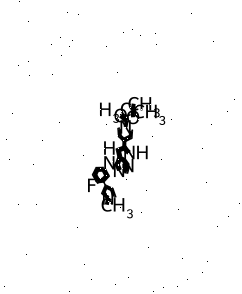 CN1CC[C@H](c2cc(Nc3ncnc4[nH]c(C5=CCN(C(=O)OC(C)(C)C)CC5)cc34)ccc2F)C1